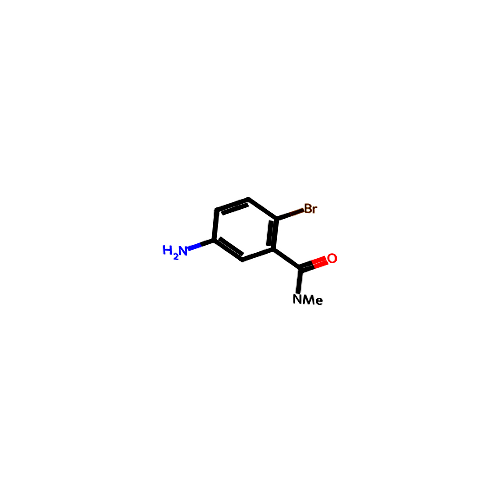 CNC(=O)c1cc(N)ccc1Br